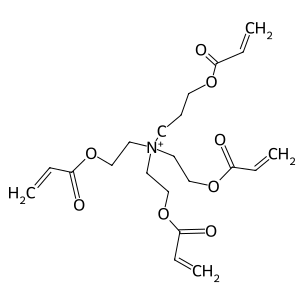 C=CC(=O)OCCC[N+](CCOC(=O)C=C)(CCOC(=O)C=C)CCOC(=O)C=C